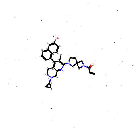 C=CC(=O)N1CC2(CCN(c3nc4c(c(-c5cccc6cc(O)ccc56)c3C)CCN(C3CC3)C4)C2)C1